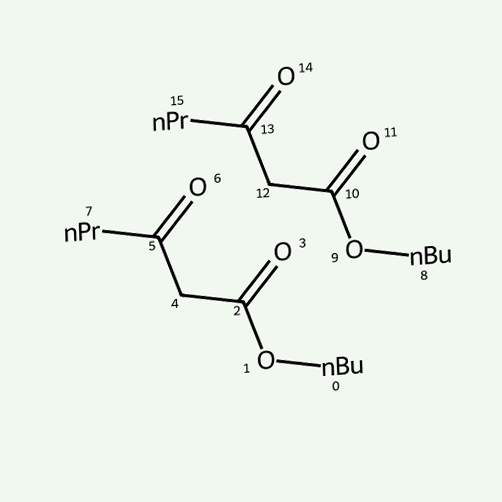 CCCCOC(=O)CC(=O)CCC.CCCCOC(=O)CC(=O)CCC